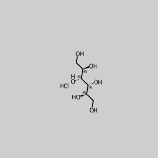 Cl.OC[C@@H](O)[C@@H](O)[C@H](O)[C@H](O)CO